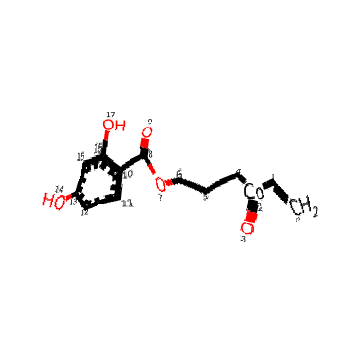 C=[CH][Co](=[O])[CH2]CCOC(=O)c1ccc(O)cc1O